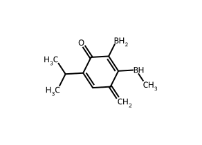 BC1=C(BC)C(=C)C=C(C(C)C)C1=O